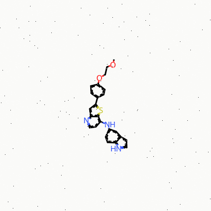 COCCOc1ccc(-c2cc3nccc(Nc4ccc5[nH]ccc5c4)c3s2)cc1